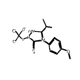 COc1ccc(N2C(=O)N(SC(Cl)(Cl)Cl)NC2C(C)C)cc1